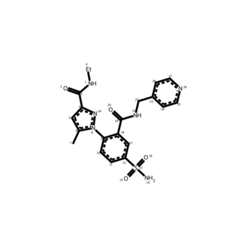 CCNC(=O)c1cc(C)n(-c2ccc(S(N)(=O)=O)cc2C(=O)NCc2ccncc2)n1